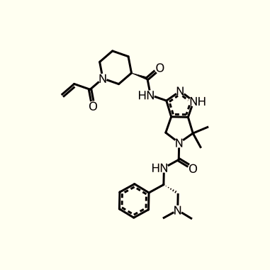 C=CC(=O)N1CCC[C@@H](C(=O)Nc2n[nH]c3c2CN(C(=O)N[C@H](CN(C)C)c2ccccc2)C3(C)C)C1